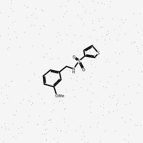 COc1cccc(CNS(=O)(=O)c2ccsc2)c1